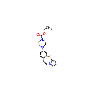 CCOC(=O)N1CCN(c2ccc3c(c2)Sc2cccn2C=C3)CC1